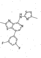 Cc1csc(Nc2ncc(-c3cc(F)cc(F)c3)c3sc(C)nc23)n1